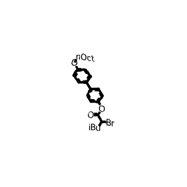 CCCCCCCCOc1ccc(-c2ccc(OC(=O)C(Br)C(C)CC)cc2)cc1